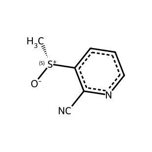 C[S@@+]([O-])c1cccnc1C#N